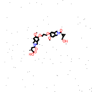 COc1cc2c(cc1OCCCOc1cc3c(cc1OC)CN(C(=O)[C@@H]1CC1CO)C3)CN(C(=O)C[C@H](C)C(=O)O)C2